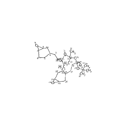 C[SiH](CCC1CCC2OC2C1)O[Si](C)(C)O[Si](C)(CCC1CCC2OC2C1)OC(C)(C)C